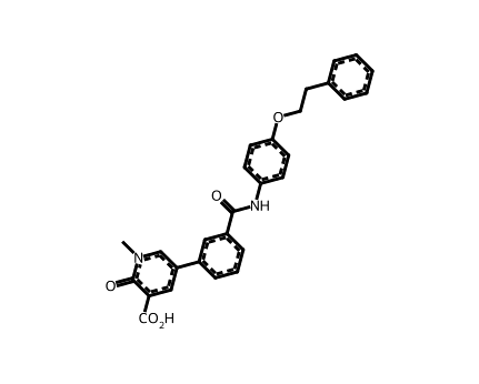 Cn1cc(-c2cccc(C(=O)Nc3ccc(OCCc4ccccc4)cc3)c2)cc(C(=O)O)c1=O